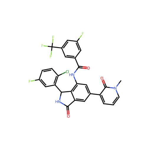 Cn1cccc(-c2cc(NC(=O)c3cc(F)cc(C(F)(F)F)c3)c3c(c2)C(=O)NC3c2cc(F)ccc2Cl)c1=O